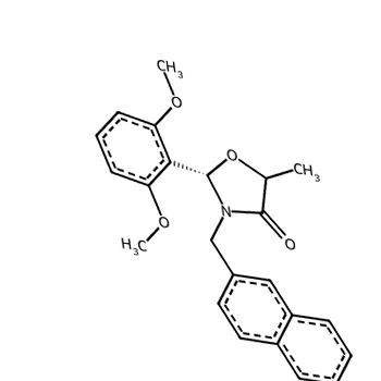 COc1cccc(OC)c1[C@@H]1OC(C)C(=O)N1Cc1ccc2ccccc2c1